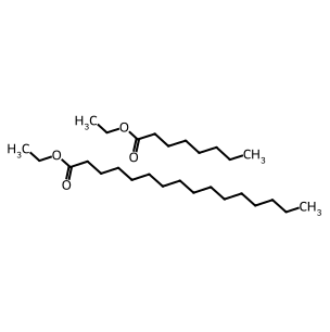 CCCCCCCC(=O)OCC.CCCCCCCCCCCCCCCC(=O)OCC